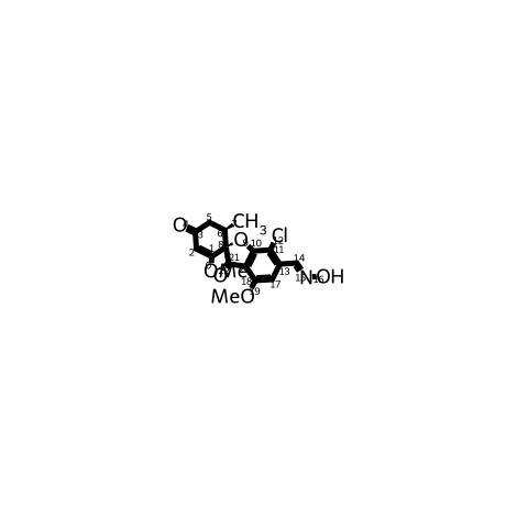 COC1=CC(=O)C[C@@H](C)[C@]12Oc1c(Cl)c(C=NO)cc(OC)c1C2=O